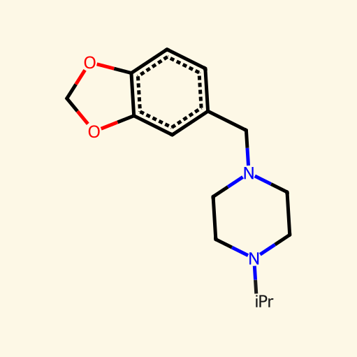 CC(C)N1CCN(Cc2ccc3c(c2)OCO3)CC1